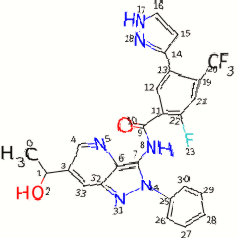 CC(O)c1cnc2c(NC(=O)c3cc(-c4cc[nH]n4)c(C(F)(F)F)cc3F)n(-c3ccccc3)nc2c1